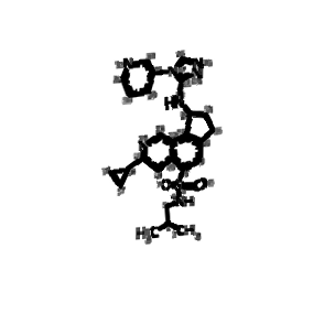 CC(C)CNS(=O)(=O)c1cc2c(c3cnc(C4CC4)cc13)C(Nc1nncn1-c1cccnc1)CC2